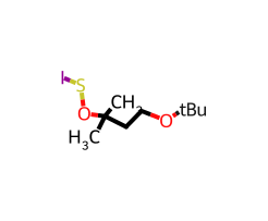 CC(C)(C)OCCC(C)(C)OSI